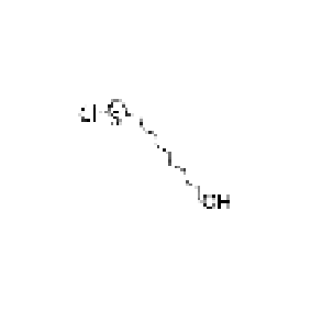 OCCCCCCCCCCc1ccc(Cl)s1